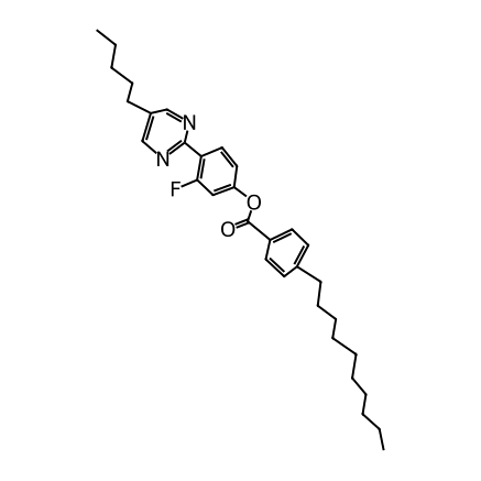 CCCCCCCCCCc1ccc(C(=O)Oc2ccc(-c3ncc(CCCCC)cn3)c(F)c2)cc1